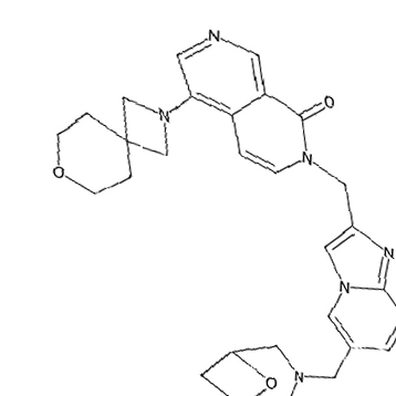 O=c1c2cncc(N3CC4(CCOCC4)C3)c2ccn1Cc1cn2cc(CN3CC4CC(C3)O4)ccc2n1